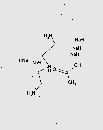 CC(=O)O.NCCNCCN.[NaH].[NaH].[NaH].[NaH].[NaH]